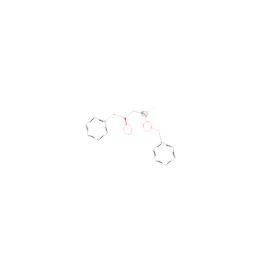 C[C@@H](CC(=O)Cc1ccccc1)OCc1ccccc1